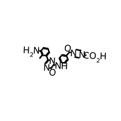 Cc1c(N)cccc1-c1cn(C)c(=O)c(Nc2ccc(C(=O)N3CCN(C(=O)O)CC3)cc2)n1